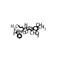 CCCCC(NC(=O)c1[nH]c2c(c1C)C(=O)CC(C)(C)C2)C(=O)Nc1ccccc1C(F)(F)F